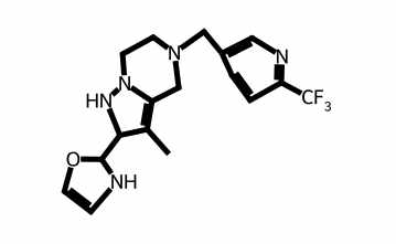 CC1=C2CN(Cc3ccc(C(F)(F)F)nc3)CCN2NC1C1NC=CO1